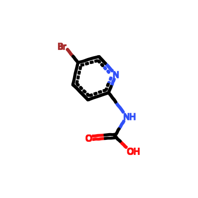 O=C(O)Nc1ccc(Br)cn1